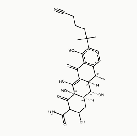 C[C@H]1c2ccc(C(C)(C)CCCC#N)c(O)c2C(=O)C2=C(O)[C@]3(O)C(=O)C(C(N)=O)C(O)C[C@@H]3[C@@H](O)[C@@H]21